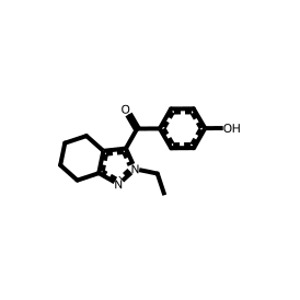 CCn1nc2c(c1C(=O)c1ccc(O)cc1)CCCC2